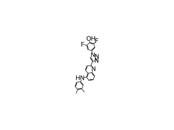 Cc1ccc(Nc2cccc3nc(-c4cn(-c5cc(F)c(O)c(F)c5)nn4)ccc23)cc1C